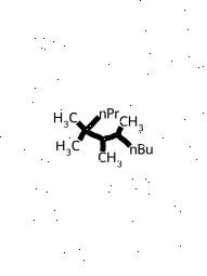 [CH2]CCC(C)(C)C(C)C(C)CCCC